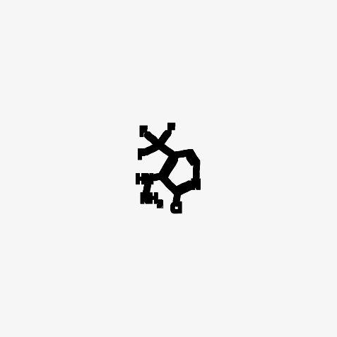 NNc1c(C(F)(F)F)ccnc1Cl